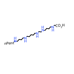 CCCCCNCCCCNCCCCCNCCNCCCCNCC(=O)O